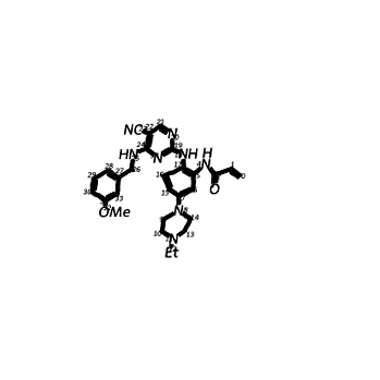 C=CC(=O)Nc1cc(N2CCN(CC)CC2)ccc1Nc1ncc(C#N)c(NCc2cccc(OC)c2)n1